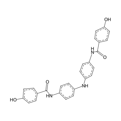 O=C(Nc1ccc(Nc2ccc(NC(=O)c3ccc(O)cc3)cc2)cc1)c1ccc(O)cc1